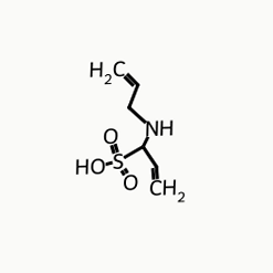 C=CCNC(C=C)S(=O)(=O)O